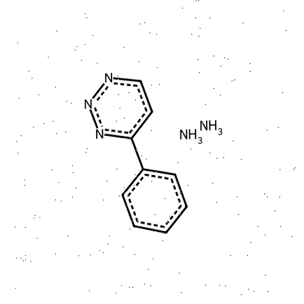 N.N.c1ccc(-c2ccnnn2)cc1